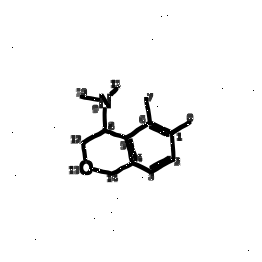 Cc1ccc2c(c1C)C(N(C)C)COC2